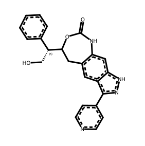 O=C1Nc2cc3[nH]nc(-c4ccncc4)c3cc2CC([C@H](CO)c2ccccc2)O1